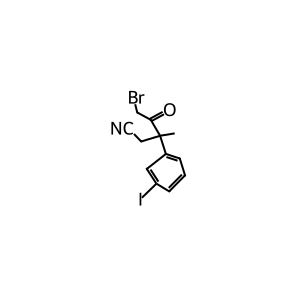 CC(CC#N)(C(=O)CBr)c1cccc(I)c1